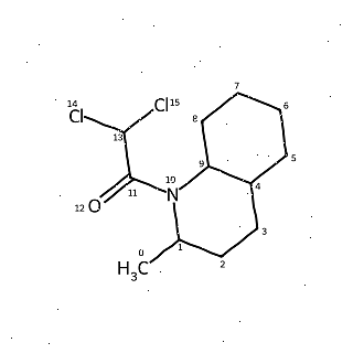 CC1CCC2CCCCC2N1C(=O)C(Cl)Cl